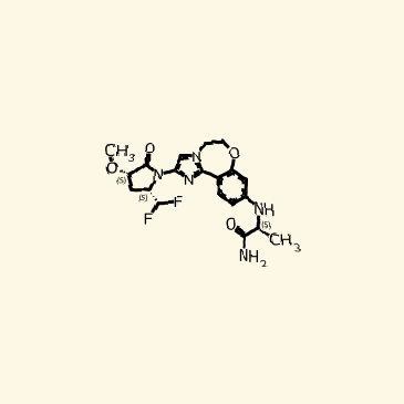 CO[C@H]1C[C@@H](C(F)F)N(c2cn3c(n2)-c2ccc(N[C@@H](C)C(N)=O)cc2OCC3)C1=O